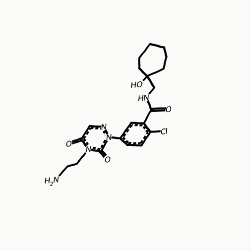 NCCn1c(=O)cnn(-c2ccc(Cl)c(C(=O)NCC3(O)CCCCCC3)c2)c1=O